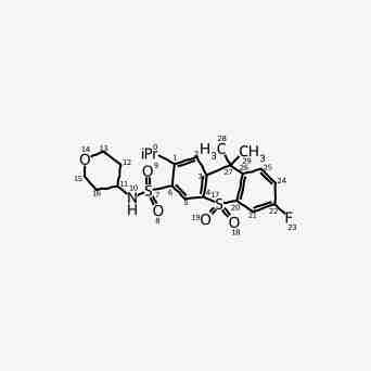 CC(C)c1cc2c(cc1S(=O)(=O)NC1CCOCC1)S(=O)(=O)c1cc(F)ccc1C2(C)C